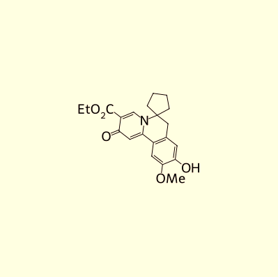 CCOC(=O)c1cn2c(cc1=O)-c1cc(OC)c(O)cc1CC21CCCC1